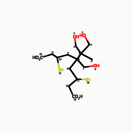 CC(CO)(CO)C(CO)(CC(S)CC(=O)O)CC(S)CC(=O)O